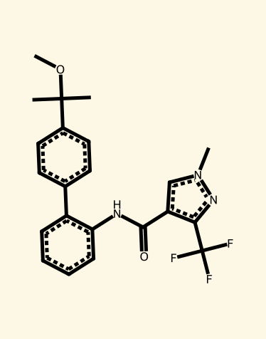 COC(C)(C)c1ccc(-c2ccccc2NC(=O)c2cn(C)nc2C(F)(F)F)cc1